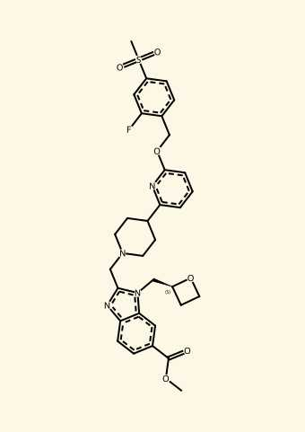 COC(=O)c1ccc2nc(CN3CCC(c4cccc(OCc5ccc(S(C)(=O)=O)cc5F)n4)CC3)n(C[C@@H]3CCO3)c2c1